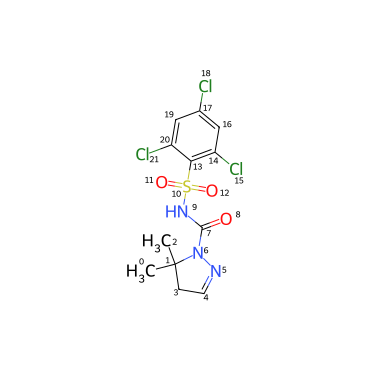 CC1(C)CC=NN1C(=O)NS(=O)(=O)c1c(Cl)cc(Cl)cc1Cl